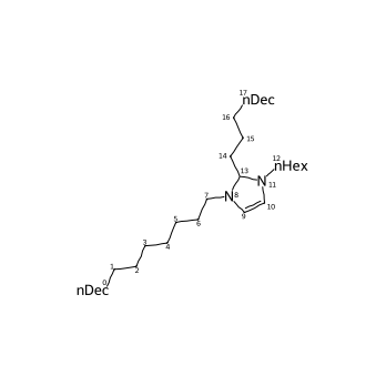 CCCCCCCCCCCCCCCCCN1C=CN(CCCCCC)C1CCCCCCCCCCCCC